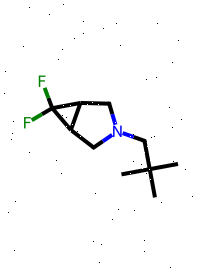 CC(C)(C)CN1CC2C(C1)C2(F)F